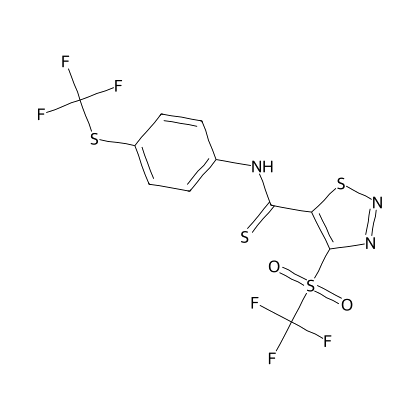 O=S(=O)(c1nnsc1C(=S)Nc1ccc(SC(F)(F)F)cc1)C(F)(F)F